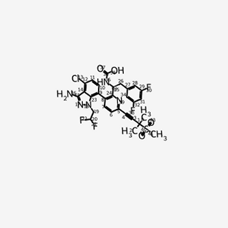 CC(C)(C#Cc1ccc(-c2ccc(Cl)c3c(N)nn(CC(F)F)c23)c([C@H](Cc2cc(F)cc(F)c2)NC(=O)O)n1)S(C)(=O)=O